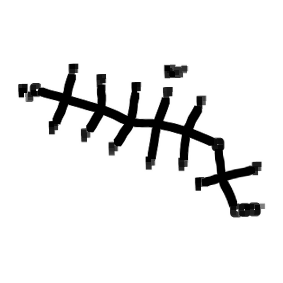 O=C([O-])C(F)(F)OC(F)(F)C(F)(F)C(F)(F)C(F)(F)C(F)(F)C(F)(F)F.[Na+]